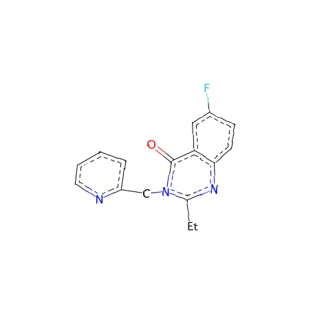 CCc1nc2ccc(F)cc2c(=O)n1Cc1ccccn1